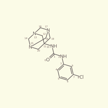 O=C(Nc1cccc(Cl)c1)NC12CN3CN(CN(C3)C1)C2